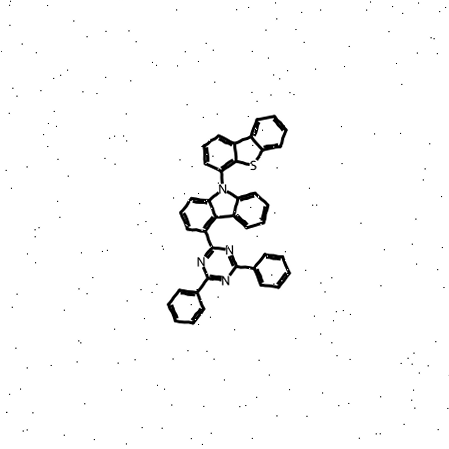 c1ccc(-c2nc(-c3ccccc3)nc(-c3cccc4c3c3ccccc3n4-c3cccc4c3sc3ccccc34)n2)cc1